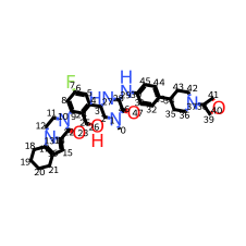 CN1CC(c2cc(F)cc(N3CCn4c(cc5c4CCCC5)C3=O)c2CO)NC(Nc2ccc(C3CCN(C4COC4)CC3)cc2)C1=O